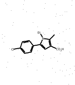 CCn1c(-c2ccc(Cl)cc2)cc(C(=O)O)c1C